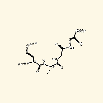 COC(=O)CNC(=O)CNC(=O)[C@H](C)NC(=O)[C@H](CCSC)NC(C)=O